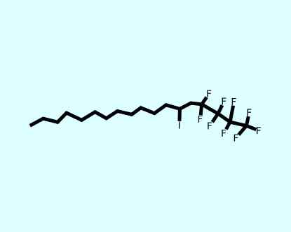 CCCCCCCCCCCCC(I)CC(F)(F)C(F)(F)C(F)(F)C(F)(F)F